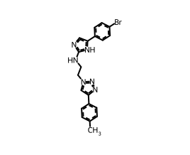 Cc1ccc(-c2cn(CCNc3ncc(-c4ccc(Br)cc4)[nH]3)nn2)cc1